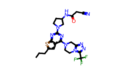 CCCc1cc2c(N3CCn4c(nnc4C(F)(F)F)C3)nc(N3CCC(NC(=O)CC#N)C3)nc2s1